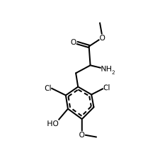 COC(=O)C(N)Cc1c(Cl)cc(OC)c(O)c1Cl